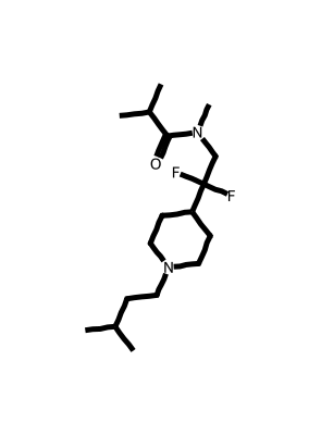 CC(C)CCN1CCC(C(F)(F)CN(C)C(=O)C(C)C)CC1